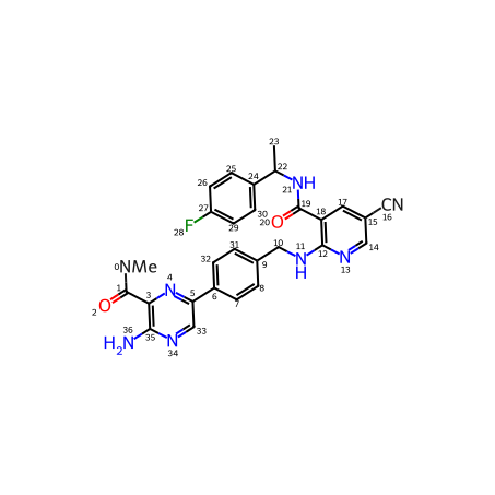 CNC(=O)c1nc(-c2ccc(CNc3ncc(C#N)cc3C(=O)NC(C)c3ccc(F)cc3)cc2)cnc1N